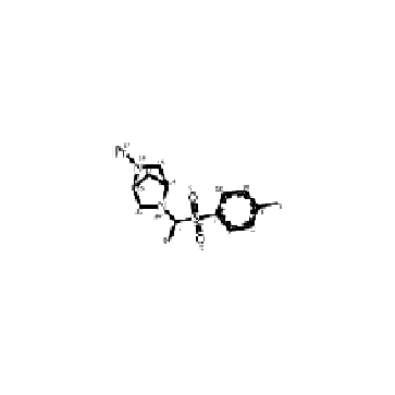 Cc1ccc(S(=O)(=O)C(C)N2CC3CC2CN3C(C)C)cc1